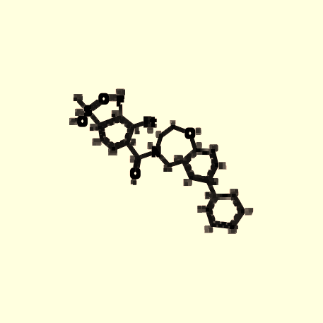 CCc1c(C(=O)N2CCOc3ccc(-c4cc[c]cc4)cc3C2)ccc(S(C)(=O)=O)c1F